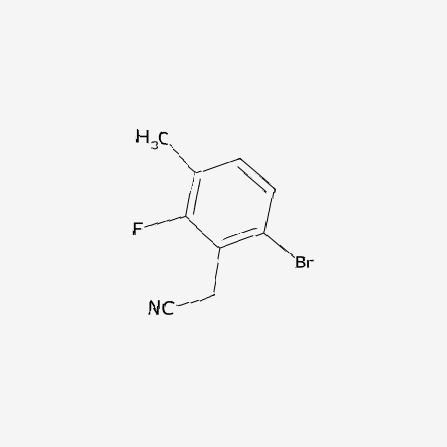 Cc1ccc(Br)c(CC#N)c1F